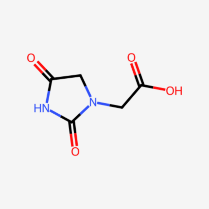 O=C(O)CN1CC(=O)NC1=O